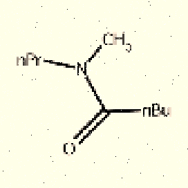 CCCCC(=O)N(C)CCC